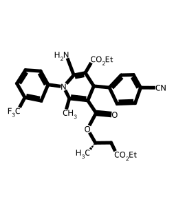 CCOC(=O)C[C@H](C)OC(=O)C1=C(C)N(c2cccc(C(F)(F)F)c2)C(N)=C(C(=O)OCC)C1c1ccc(C#N)cc1